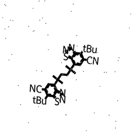 CC(C)(C)c1c(C#N)cc(C(C)(C)CCC(C)(C)c2cc(C#N)c(C(C)(C)C)c3snnc23)c2snnc12